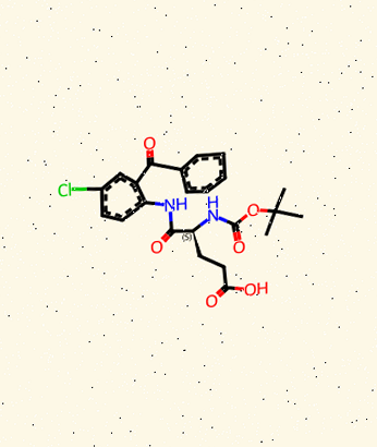 CC(C)(C)OC(=O)N[C@@H](CCC(=O)O)C(=O)Nc1ccc(Cl)cc1C(=O)c1ccccc1